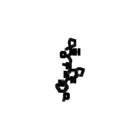 COc1ccnc(-c2nc3c(c(N(C)CC(=O)NC4(C)CCCC4)n2)CCC3)c1